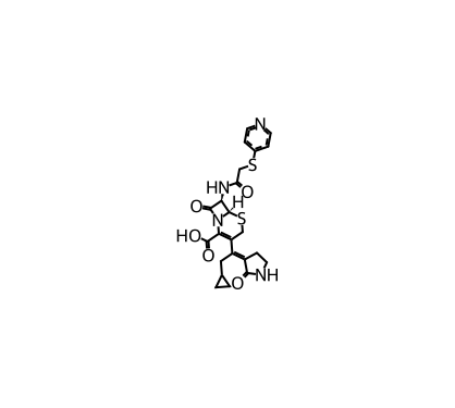 O=C(CSc1ccncc1)N[C@@H]1C(=O)N2C(C(=O)O)=C(C(CC3CC3)=C3CCNC3=O)CS[C@H]12